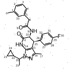 Cc1cccc(CC(=O)N[C@@H]2C(=O)Nc3c(c(C)nn3C(C)C3CC3)[C@@H]2c2ccc(F)cc2)c1